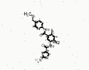 COCc1ccc(NC(=O)c2cc(NC(=O)c3cnc(N)s3)c(Cl)cc2F)nc1